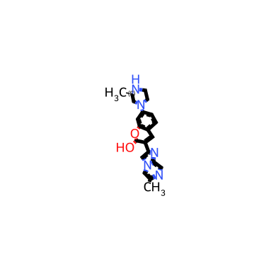 Cc1cn2cc(C3=Cc4ccc(N5CCN[C@@H](C)C5)cc4OC3O)nc2cn1